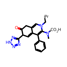 CC(C)CN1C=C2CC(=O)C(c3nn[nH]n3)C=C2C(c2ccccc2)=C1N(C)C(=O)O